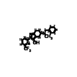 CN(Cc1ccccc1)C1CCc2nn(-c3cccc(C(F)(F)F)n3)c(O)c2C1